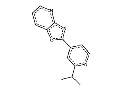 CC(C)c1cc(-c2nc3ncccc3o2)ccn1